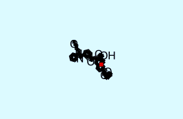 COCCCn1c(C2CCCN(C(=O)CC(Cc3ccc(B4OC(C)(C)C(C)(C)O4)cc3)N(C(=O)O)C(C)(C)C)C2)nc2ccccc21